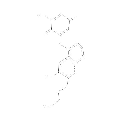 COCCOc1cc2ncnc(NC3=CC(=O)C=C(OC)C3=O)c2cc1OC